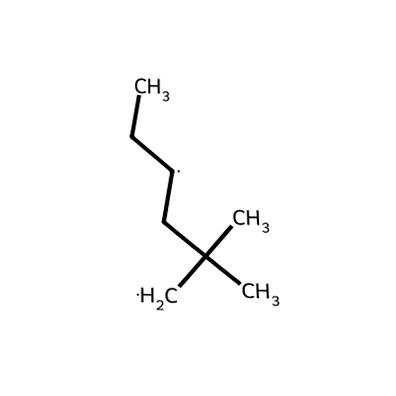 [CH2]C(C)(C)C[CH]CC